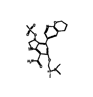 C[C@H](COc1cc(-c2cnc3c(c2)CCCO3)c2c(c1C(N)=O)NCN2OS(C)(=O)=O)N(C)C